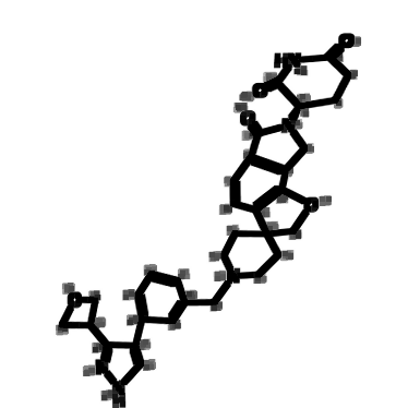 O=C1CC[C@@H](N2Cc3c(ccc4c3OCC43CCN(Cc4cccc(-c5c[nH]nc5C5COC5)c4)CC3)C2=O)C(=O)N1